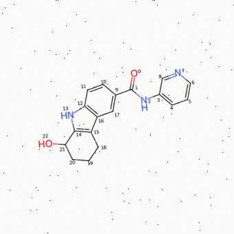 O=C(Nc1cccnc1)c1ccc2[nH]c3c(c2c1)CCCC3O